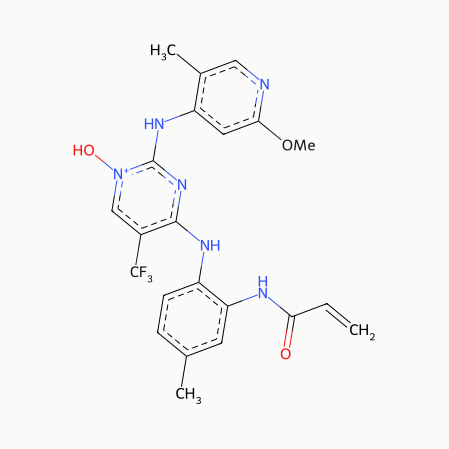 C=CC(=O)Nc1cc(C)ccc1Nc1nc(Nc2cc(OC)ncc2C)[n+](O)cc1C(F)(F)F